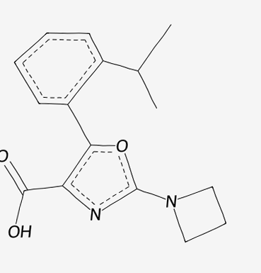 CC(C)c1ccccc1-c1oc(N2CCC2)nc1C(=O)O